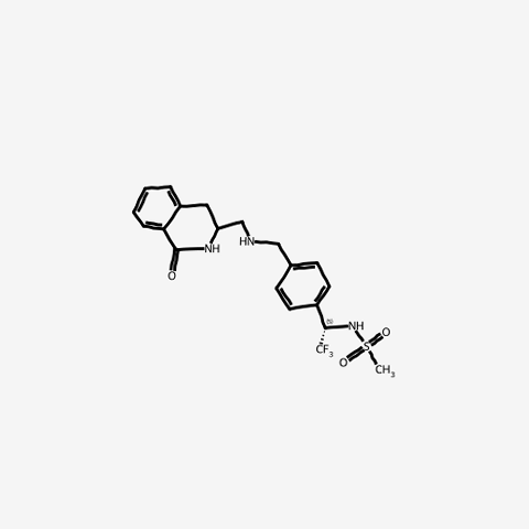 CS(=O)(=O)N[C@@H](c1ccc(CNCC2Cc3ccccc3C(=O)N2)cc1)C(F)(F)F